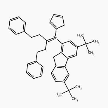 CC(C)(C)c1ccc2c(c1)-c1cc(C(C)(C)C)c[c]([Zr]([C]3=CC=CC3)=[C](CCc3ccccc3)CCc3ccccc3)c1C2